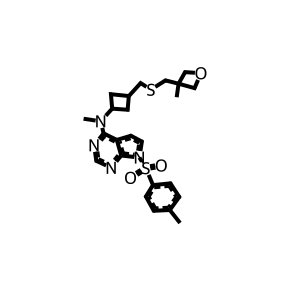 Cc1ccc(S(=O)(=O)n2ccc3c(N(C)C4CC(CSCC5(C)COC5)C4)ncnc32)cc1